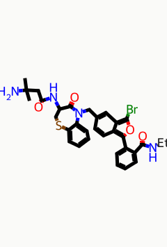 CCNC(=O)c1ccccc1-c1oc(Br)c2cc(CN3C(=O)C(NC(=O)CC(C)(C)N)CSc4ccccc43)ccc12